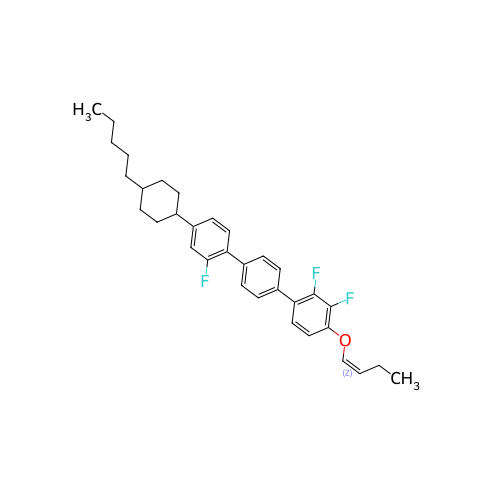 CC/C=C\Oc1ccc(-c2ccc(-c3ccc(C4CCC(CCCCC)CC4)cc3F)cc2)c(F)c1F